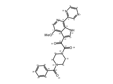 COc1cnc(-c2cnccn2)c2[nH]cc(C(=O)C(=O)N3CCN(C(=O)c4ccccc4)CC3)c12